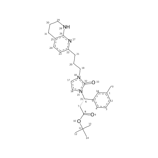 Cc1cccc([C@H](CC(=O)OC(C)(C)C)n2ccn(CCCc3ccc4c(n3)NCCC4)c2=O)c1